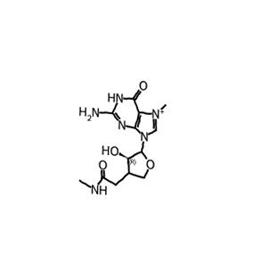 CNC(=O)CC1COC(n2c[n+](C)c3c(=O)[nH]c(N)nc32)[C@@H]1O